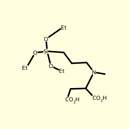 CCO[Si](CCCN(C)C(CC(=O)O)C(=O)O)(OCC)OCC